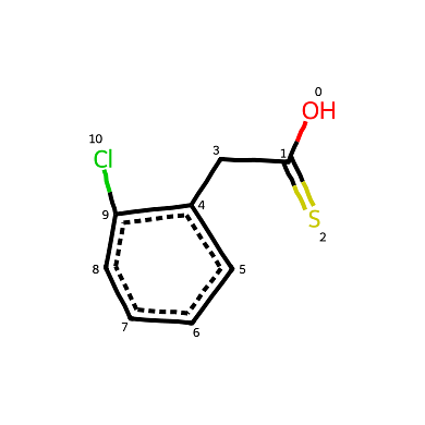 OC(=S)Cc1ccccc1Cl